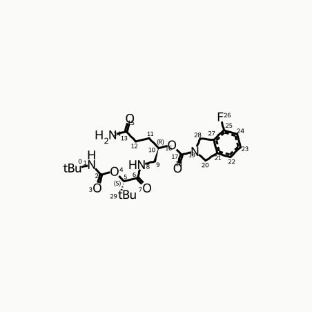 CC(C)(C)NC(=O)O[C@H](C(=O)NC[C@@H](CCC(N)=O)OC(=O)N1Cc2cccc(F)c2C1)C(C)(C)C